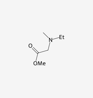 CCN(C)CC(=O)OC